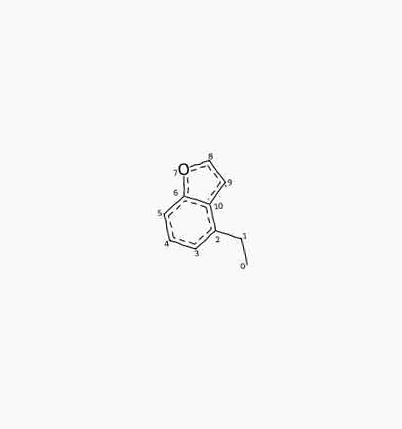 CCc1cccc2oc[c]c12